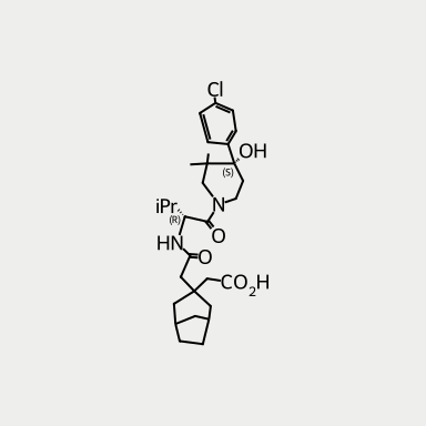 CC(C)[C@@H](NC(=O)CC1(CC(=O)O)CC2CCC(C2)C1)C(=O)N1CC[C@](O)(c2ccc(Cl)cc2)C(C)(C)C1